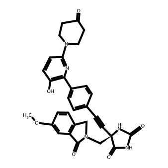 COc1ccc2c(c1)C(=O)N(C[C@@]1(C#Cc3ccc(-c4nc(N5CCC(=O)CC5)ccc4O)cc3)NC(=O)NC1=O)C2